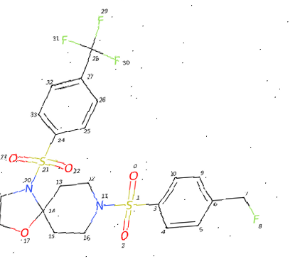 O=S(=O)(c1ccc(CF)cc1)N1CCC2(CC1)OCCN2S(=O)(=O)c1ccc(C(F)(F)F)cc1